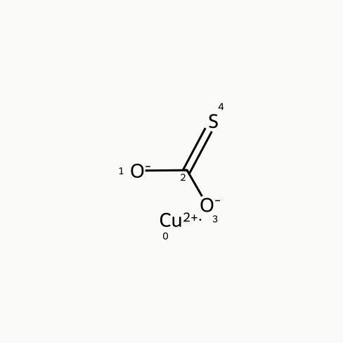 [Cu+2].[O-]C([O-])=S